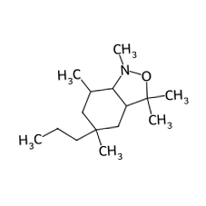 CCCC1(C)CC(C)C2C(C1)C(C)(C)ON2C